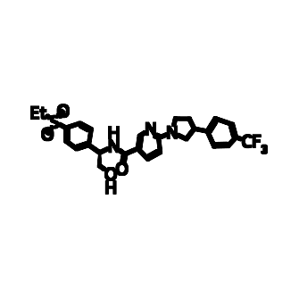 CCS(=O)(=O)c1ccc([C@H](CO)NC(=O)c2ccc(N3CCC(c4ccc(C(F)(F)F)cc4)C3)nc2)cc1